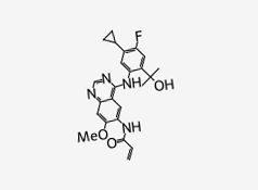 C=CC(=O)Nc1cc2c(Nc3cc(C4CC4)c(F)cc3C(C)(C)O)ncnc2cc1OC